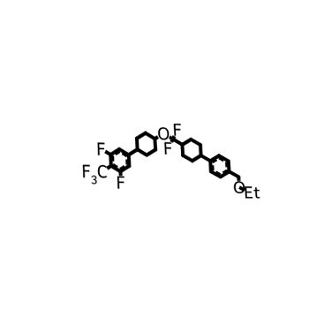 CCOCc1ccc(C2CCC(C(F)(F)OC3CCC(c4cc(F)c(C(F)(F)F)c(F)c4)CC3)CC2)cc1